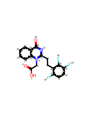 O=C(O)Cn1c(CCc2c(F)ccc(F)c2F)nc(=O)c2ccccc21